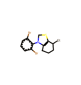 CCC1CCCC2=C1SCN2c1c(Br)cccc1Br